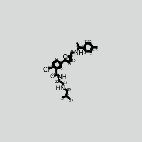 Cc1ccc(C(C)NCc2ccc(-c3ccc(Cl)c(C(=O)NCCNCC(C)C)c3)o2)cc1